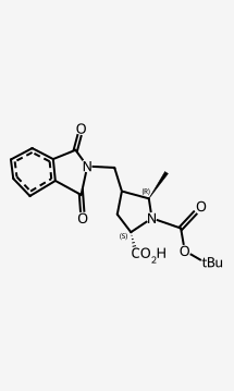 C[C@@H]1C(CN2C(=O)c3ccccc3C2=O)C[C@@H](C(=O)O)N1C(=O)OC(C)(C)C